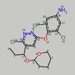 CCC(OC1CCCCO1)c1cc(Oc2c(Cl)cc(N)cc2Cl)nnc1Cl